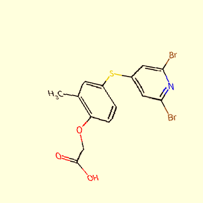 Cc1cc(Sc2cc(Br)nc(Br)c2)ccc1OCC(=O)O